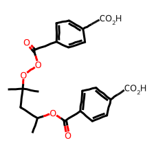 CC(CC(C)(C)OOC(=O)c1ccc(C(=O)O)cc1)OC(=O)c1ccc(C(=O)O)cc1